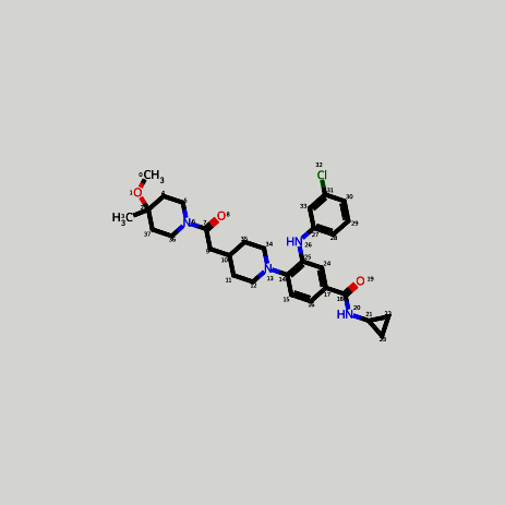 COC1(C)CCN(C(=O)CC2CCN(c3ccc(C(=O)NC4CC4)cc3Nc3cccc(Cl)c3)CC2)CC1